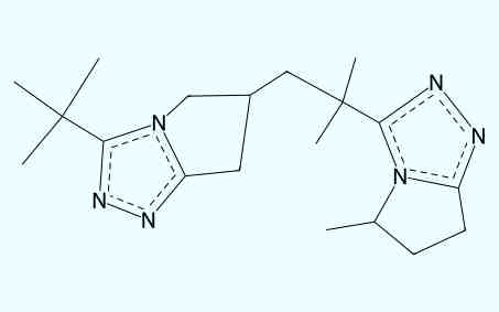 CC1CCc2nnc(C(C)(C)CC3Cc4nnc(C(C)(C)C)n4C3)n21